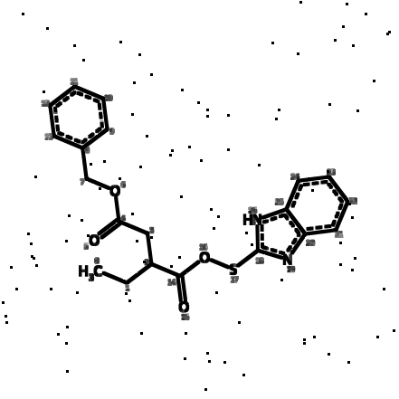 CCC(CC(=O)OCc1ccccc1)C(=O)OSc1nc2ccccc2[nH]1